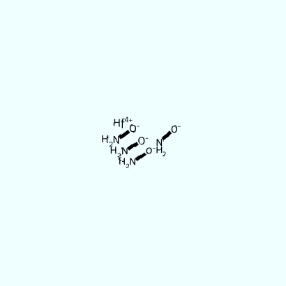 N[O-].N[O-].N[O-].N[O-].[Hf+4]